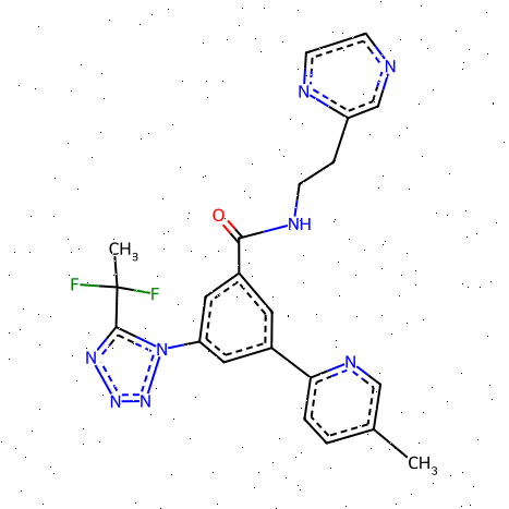 Cc1ccc(-c2cc(C(=O)NCCc3cnccn3)cc(-n3nnnc3C(C)(F)F)c2)nc1